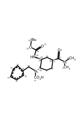 CN(C)C(=O)[C@H]1CC[C@H](N(Cc2ccccc2)C(=O)O)[C@@H](NC(=O)OC(C)(C)C)C1